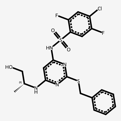 C[C@H](CO)Nc1cc(NS(=O)(=O)c2cc(F)c(Cl)cc2F)nc(SCc2ccccc2)n1